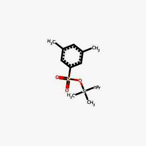 CCC[Si](C)(C)OS(=O)(=O)c1cc(C)cc(C)c1